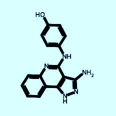 Nc1n[nH]c2c1c(Nc1ccc(O)cc1)nc1ccccc12